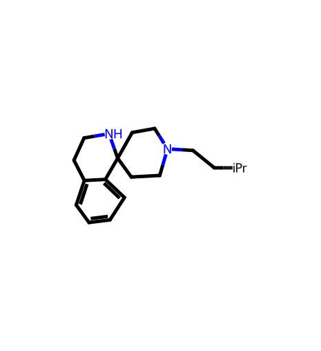 CC(C)CCN1CCC2(CC1)NCCc1ccccc12